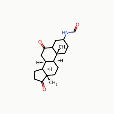 C[C@]12CCC(NC=O)CC1C(=O)C[C@@H]1[C@@H]2CC[C@]2(C)C(=O)CC[C@@H]12